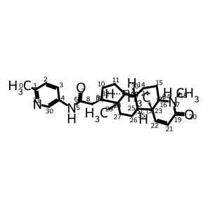 Cc1ccc(NC(=O)C[C@H]2CC[C@H]3[C@@H]4CC[C@H]5N(C)C(=O)C=C[C@]5(C)[C@H]4CC[C@]23C)cn1